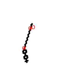 C=CC(=O)OCCCCCCCCCCCOc1ccc(-c2ccc(C(C)(C)C)cc2)cc1